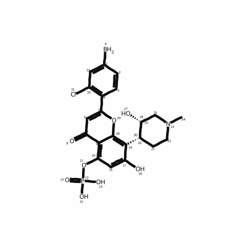 Bc1ccc(-c2cc(=O)c3c(OP(=O)(O)O)cc(O)c([C@H]4CCN(C)C[C@H]4O)c3o2)c(Cl)c1